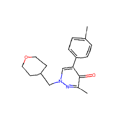 Cc1ccc(-c2cn(CC3CCOCC3)nc(C)c2=O)cc1